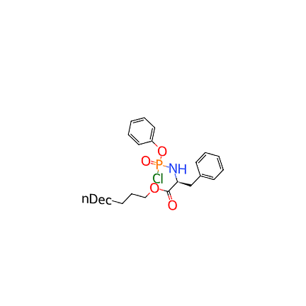 CCCCCCCCCCCCCOC(=O)[C@H](Cc1ccccc1)NP(=O)(Cl)Oc1ccccc1